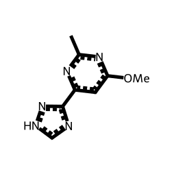 COc1cc(-c2nc[nH]n2)nc(C)n1